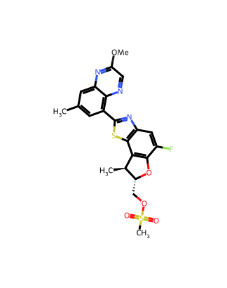 COc1cnc2c(-c3nc4cc(F)c5c(c4s3)[C@H](C)[C@@H](COS(C)(=O)=O)O5)cc(C)cc2n1